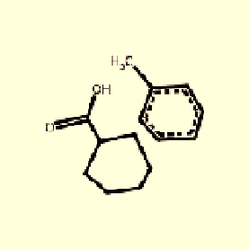 Cc1ccccc1.O=C(O)C1CCCCC1